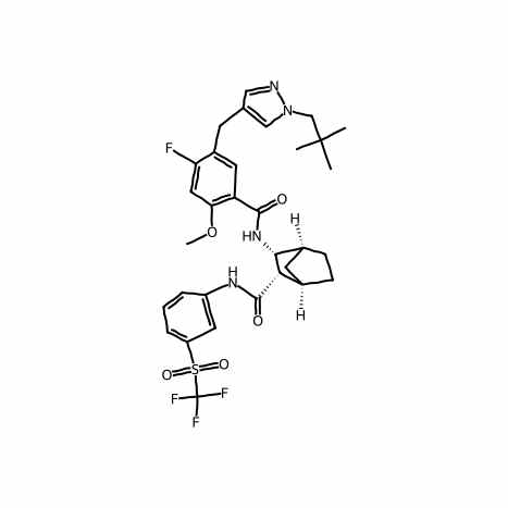 COc1cc(F)c(Cc2cnn(CC(C)(C)C)c2)cc1C(=O)N[C@@H]1[C@H]2CC[C@H](C2)[C@@H]1C(=O)Nc1cccc(S(=O)(=O)C(F)(F)F)c1